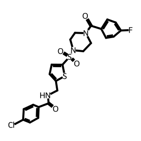 O=C(NCc1ccc(S(=O)(=O)N2CCN(C(=O)c3ccc(F)cc3)CC2)s1)c1ccc(Cl)cc1